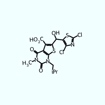 CC(C)Cn1c(=O)n(C)c(=O)c2c(C(=O)O)c(C(O)c3sc(Cl)nc3Cl)sc21